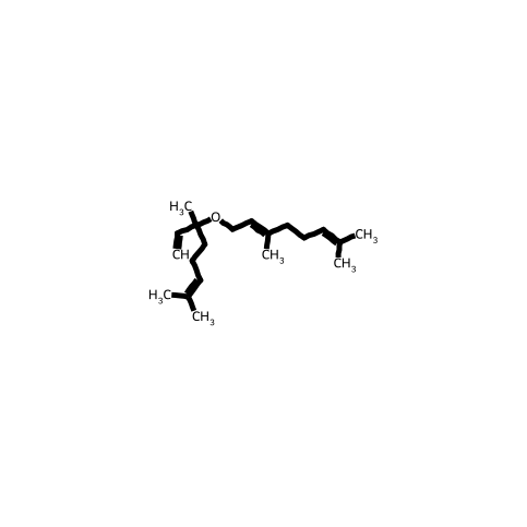 C=CC(C)(CCC=C(C)C)OC/C=C(\C)CCC=C(C)C